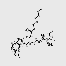 CCCCCCCC(=O)OC[C@H](CCOC(=O)[C@@H](N)[C@@H](C)CC)Cn1cnc2cnc(N)nc21